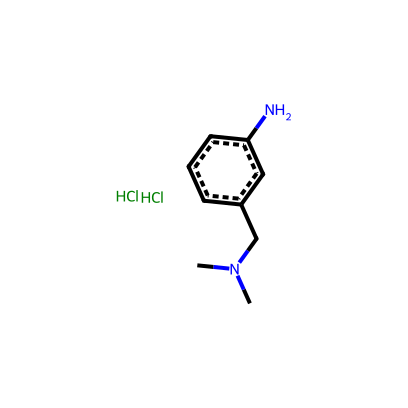 CN(C)Cc1cccc(N)c1.Cl.Cl